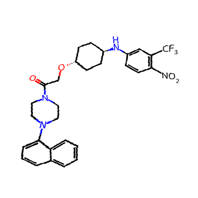 O=C(CO[C@H]1CC[C@H](Nc2ccc([N+](=O)[O-])c(C(F)(F)F)c2)CC1)N1CCN(c2cccc3ccccc23)CC1